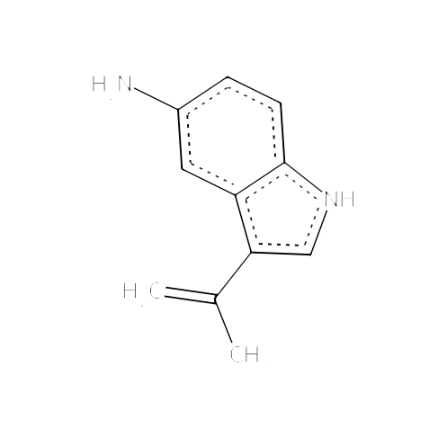 C=C(C)c1c[nH]c2ccc(N)cc12